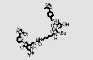 CCn1cnnc1-c1cccc(N2Cc3c(cc(N(C)C(C)C)nc3CNCC(=O)NCCCCCC(=O)N[C@H](C(=O)N3C[C@H](O)C[C@H]3C(=O)NCc3ccc(-c4scnc4C)cc3)C(C)(C)C)C2=O)n1